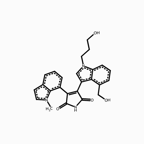 Cn1ccc2cccc(C3=C(c4cn(CCCO)c5cccc(CO)c45)C(=O)NC3=O)c21